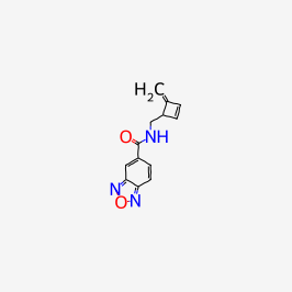 C=C1C=CC1CNC(=O)c1ccc2nonc2c1